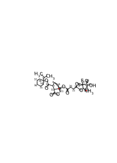 CC(C)C1(OC(=O)C2C3CC4C(OC(=O)C42)C3OC(=O)CCC(=O)OC(C)C(F)(F)S(=O)(=O)O)CCCCC1